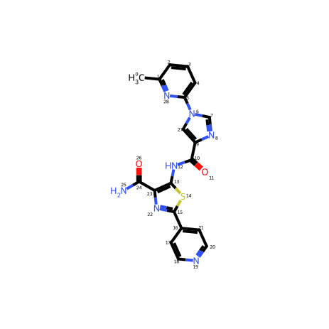 Cc1cccc(-n2cnc(C(=O)Nc3sc(-c4ccncc4)nc3C(N)=O)c2)n1